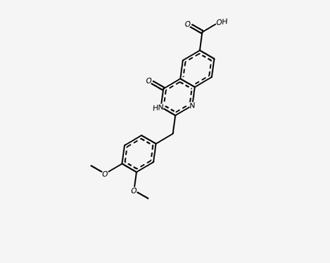 COc1ccc(Cc2nc3ccc(C(=O)O)cc3c(=O)[nH]2)cc1OC